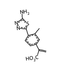 C=C(C(=O)O)c1ccc(-c2nnc(N)s2)c(C)c1